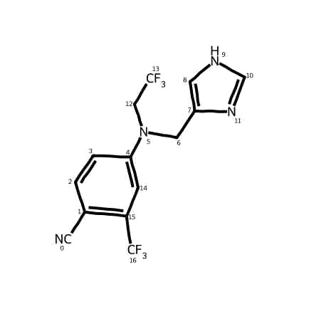 N#Cc1ccc(N(Cc2c[nH]cn2)CC(F)(F)F)cc1C(F)(F)F